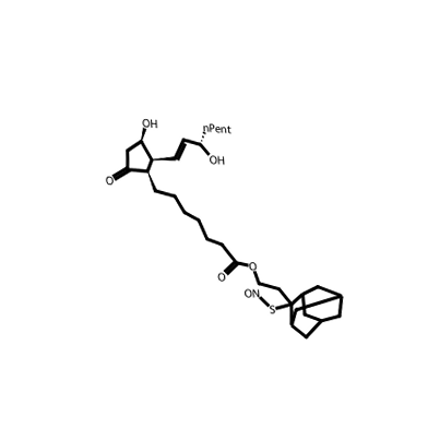 CCCCC[C@H](O)/C=C/[C@@H]1[C@H](O)CC(=O)[C@@H]1CCCCCCC(=O)OCCC1(SN=O)C2CC3CC(C2)CC1C3